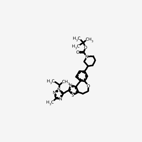 Cc1nc(-c2nc3c(s2)CCOc2cc(C4CCCN(C(=O)OC(C)(C)C)C4)ccc2-3)n(C(C)C)n1